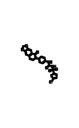 O=C(Nc1ccc(-n2ccc3cc4ncoc4cc3c2=O)cc1)NS(=O)(=O)c1ccc(Cl)s1